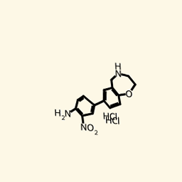 Cl.Cl.Nc1ccc(-c2ccc3c(c2)CNCCO3)cc1[N+](=O)[O-]